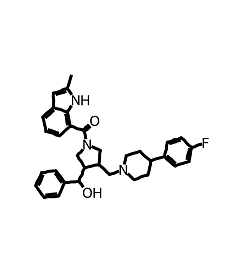 Cc1cc2cccc(C(=O)N3CC(CN4CCC(c5ccc(F)cc5)CC4)C(C(O)c4ccccc4)C3)c2[nH]1